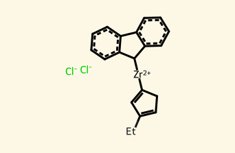 CCC1=CC[C]([Zr+2][CH]2c3ccccc3-c3ccccc32)=C1.[Cl-].[Cl-]